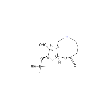 CC(C)(C)[Si](C)(C)O[C@@H]1C[C@@H]2OC(=O)CCC/C=C\C[C@@H]2[C@H]1C=O